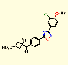 [2H]C(c1ccc(-c2nc(-c3ccc(OC(C)C)c(Cl)c3)no2)cc1)C1([2H])CC(C(=O)O)C1